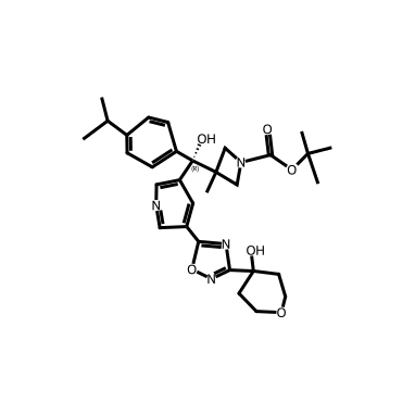 CC(C)c1ccc([C@](O)(c2cncc(-c3nc(C4(O)CCOCC4)no3)c2)C2(C)CN(C(=O)OC(C)(C)C)C2)cc1